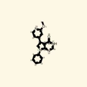 COc1cc(-c2cn(-c3ccccc3)c3nc[nH]c(=O)c23)ccn1